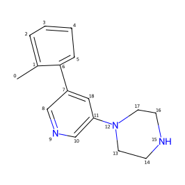 Cc1ccccc1-c1cncc(N2CCNCC2)c1